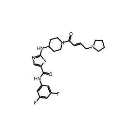 O=C(Nc1cc(F)cc(F)c1)c1cnc(NC2CCN(C(=O)/C=C/CN3CCCC3)CC2)s1